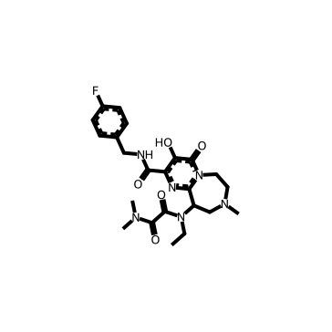 CCN(C(=O)C(=O)N(C)C)C1CN(C)CCn2c1nc(C(=O)NCc1ccc(F)cc1)c(O)c2=O